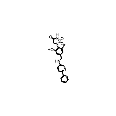 O=C1CN(c2c(O)cc(CNc3ccc(-c4ccccc4)nc3)cc2F)S(=O)(=O)N1